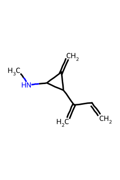 C=CC(=C)C1C(=C)C1NC